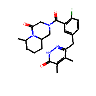 Cc1c(Cc2ccc(F)c(C(=O)N3CC(=O)N4C(C)CCCC4C3)c2)n[nH]c(=O)c1C